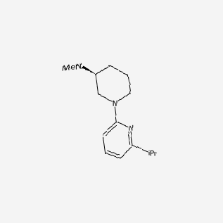 CN[C@H]1CCCN(c2cccc(C(C)C)n2)C1